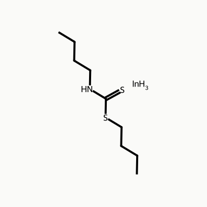 CCCCNC(=S)SCCCC.[InH3]